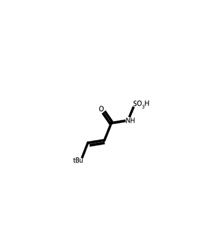 CC(C)(C)C=CC(=O)NS(=O)(=O)O